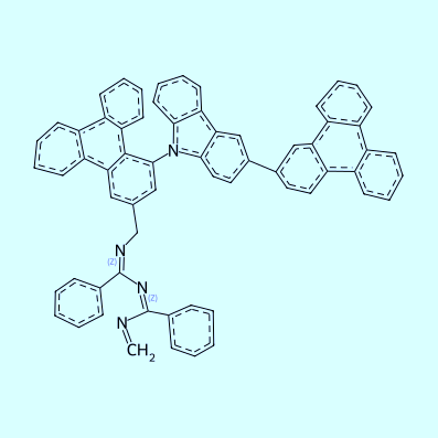 C=N/C(=N\C(=N/Cc1cc(-n2c3ccccc3c3cc(-c4ccc5c6ccccc6c6ccccc6c5c4)ccc32)c2c3ccccc3c3ccccc3c2c1)c1ccccc1)c1ccccc1